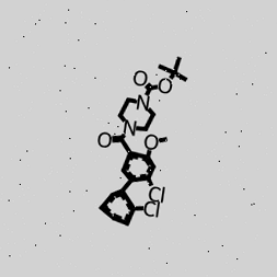 COc1cc(Cl)c(-c2ccccc2Cl)cc1C(=O)N1CCN(C(=O)OC(C)(C)C)CC1